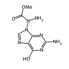 COC(=O)N(N)n1cnc2c(O)nc(N)nc21